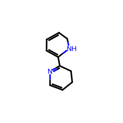 C1=CCNC(C2=NC=CCC2)=C1